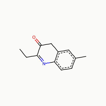 CCC1=Nc2ccc(C)cc2CC1=O